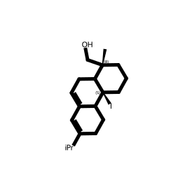 CC(C)C1=CC2=CCC3[C@](C)(CO)CCC[C@]3(I)C2CC1